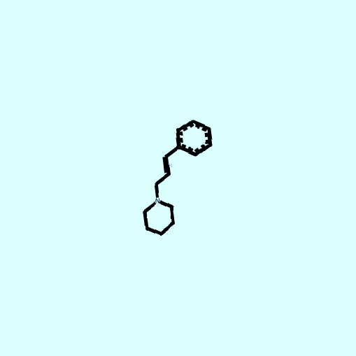 [CH]1CCCCN1C/C=C/c1ccccc1